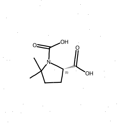 CC1(C)CC[C@@H](C(=O)O)N1C(=O)O